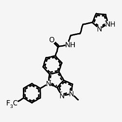 Cn1cc2c3cc(C(=O)NCCCc4cc[nH]n4)ccc3n(-c3ccc(C(F)(F)F)cc3)c2n1